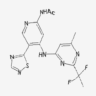 CC(=O)Nc1cc(Nc2cc(C)nc(C(C)(F)F)n2)c(-c2ncns2)cn1